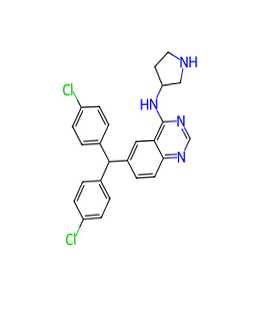 Clc1ccc(C(c2ccc(Cl)cc2)c2ccc3ncnc(NC4CCNC4)c3c2)cc1